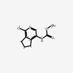 CC(C)(C)OC(=O)Nc1cnc(Cl)c2c1CCC2